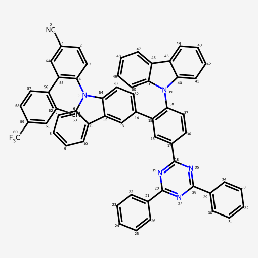 N#Cc1ccc(-n2c3ccccc3c3cc(-c4cc(-c5nc(-c6ccccc6)nc(-c6ccccc6)n5)ccc4-n4c5ccccc5c5ccccc54)ccc32)c(-c2ccc(C(F)(F)F)cc2C#N)c1